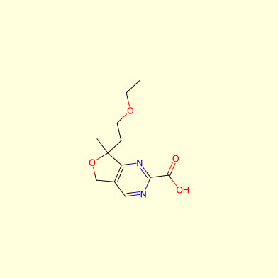 CCOCCC1(C)OCc2cnc(C(=O)O)nc21